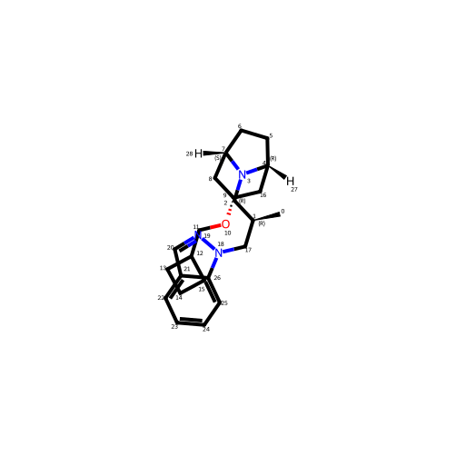 C[C@H](CN1[C@@H]2CC[C@H]1C[C@@H](OCC1CCC1)C2)Cn1ncc2ccccc21